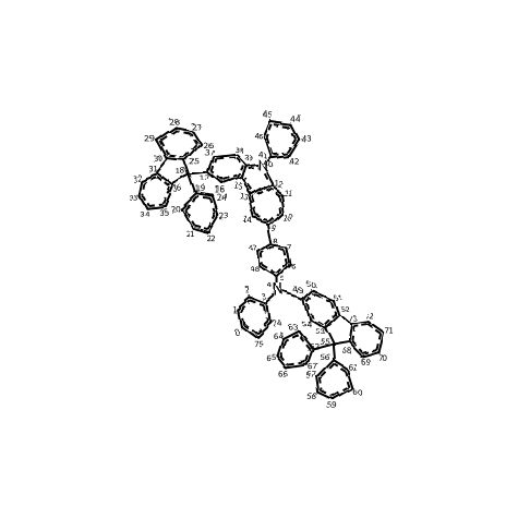 c1ccc(N(c2ccc(-c3ccc4c(c3)c3cc(C5(c6ccccc6)c6ccccc6-c6ccccc65)ccc3n4-c3ccccc3)cc2)c2ccc3c(c2)C(c2ccccc2)(c2ccccc2)c2ccccc2-3)cc1